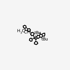 CC(C)(C)c1c2ccccc2c(C(C)(C)C)c2cc3c(cc12)c(-c1ccccc1)c(-c1ccccc1)n3-c1ccc(-c2ccc3c(c2)C(C)(C)c2ccccc2-3)cc1